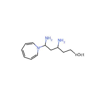 CCCCCCCCCCC(N)CC(N)N1C=CC=CC=C1